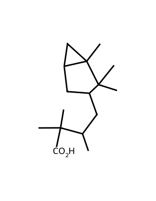 CC(CC1CC2CC2(C)C1(C)C)C(C)(C)C(=O)O